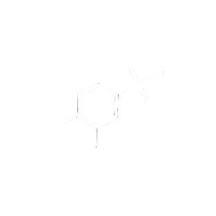 Cc1ccc(S(C)(=O)=O)cc1I